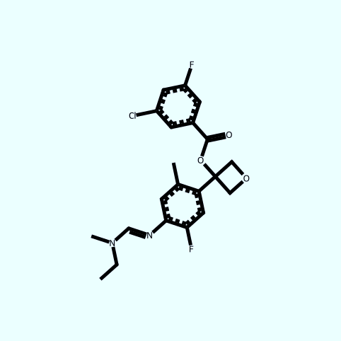 CCN(C)C=Nc1cc(C)c(C2(OC(=O)c3cc(F)cc(Cl)c3)COC2)cc1F